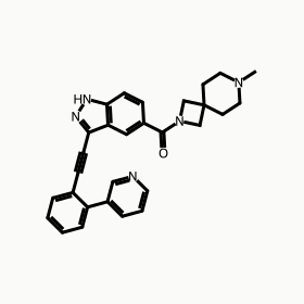 CN1CCC2(CC1)CN(C(=O)c1ccc3[nH]nc(C#Cc4ccccc4-c4cccnc4)c3c1)C2